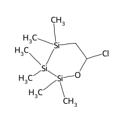 C[Si]1(C)CC(Cl)O[Si](C)(C)[Si]1(C)C